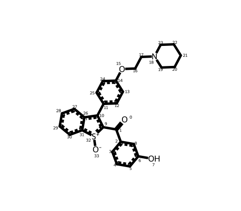 O=C(c1cccc(O)c1)c1c(-c2ccc(OCCN3CCCCC3)cc2)c2ccccc2[s+]1[O-]